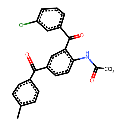 Cc1ccc(C(=O)c2ccc(NC(=O)C(Cl)(Cl)Cl)c(C(=O)c3cccc(Cl)c3)c2)cc1